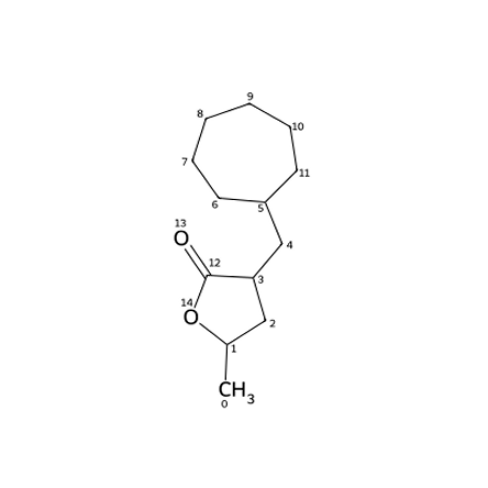 CC1CC(CC2CCCCCC2)C(=O)O1